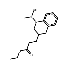 CCOC(=O)CCC1Cc2ccccc2N(B(C)O)C1